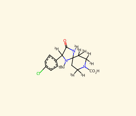 [2H]N1C(=O)C([2H])(c2ccc(Cl)cc2)N(C(C)(C)C)C12CC([2H])([2H])N(C(=O)O)C([2H])([2H])C2([2H])[2H]